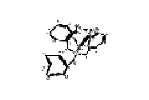 c1ccc([CH2][Zr]([CH2]c2ccccc2)([CH2]c2ccccc2)[c]2c[nH]nn2)cc1